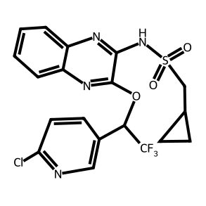 O=S(=O)(CC1CC1)Nc1nc2ccccc2nc1OC(c1ccc(Cl)nc1)C(F)(F)F